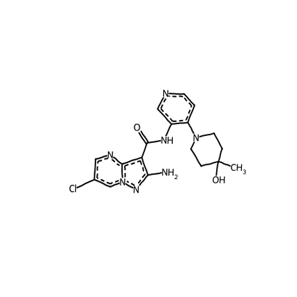 CC1(O)CCN(c2ccncc2NC(=O)c2c(N)nn3cc(Cl)cnc23)CC1